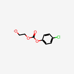 [O]CCOC(=O)Oc1ccc(Cl)cc1